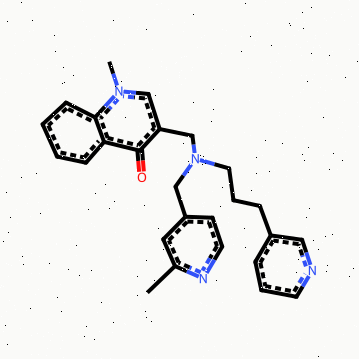 Cc1cc(CN(CCCc2cccnc2)Cc2cn(C)c3ccccc3c2=O)ccn1